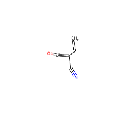 C=CC(=C=O)C#N